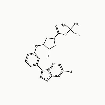 CC(C)(C)OC(=O)N1C[C@H](Nc2cccc(-c3cnc4cc(Cl)cnn34)n2)[C@@H](F)C1